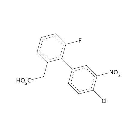 O=C(O)Cc1cccc(F)c1-c1ccc(Cl)c([N+](=O)[O-])c1